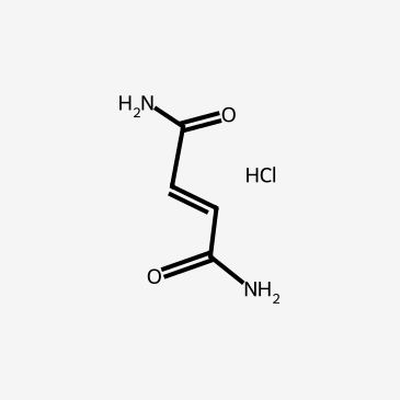 Cl.NC(=O)C=CC(N)=O